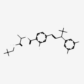 CC(NC(=O)c1ccc(/C=C/C(c2cc(Cl)cc(Cl)c2)C(F)(F)F)cc1Br)C(=O)NCC(F)(F)F